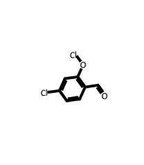 O=Cc1ccc(Cl)cc1OCl